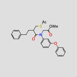 COC(=O)CN(C(=O)C(CCc1ccccc1)CSC(C)=O)c1cccc(Oc2ccccc2)c1